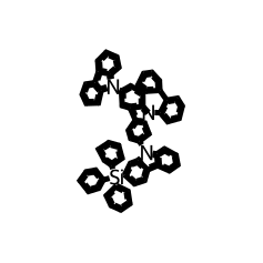 c1ccc(-c2ccccc2-n2c3ccc(-n4c5ccccc5c5ccccc54)cc3c3ccc(-n4c5ccccc5c5ccc([Si](c6ccccc6)(c6ccccc6)c6ccccc6)cc54)cc32)cc1